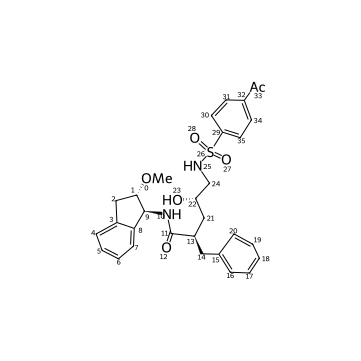 CO[C@H]1Cc2ccccc2[C@@H]1NC(=O)[C@H](Cc1ccccc1)C[C@H](O)CNS(=O)(=O)c1ccc(C(C)=O)cc1